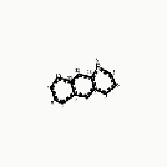 b1[c]ccc2cc3ccccc3cc12